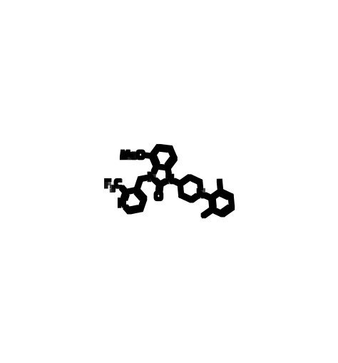 COc1cccc2c1n(Cc1cccnc1C(F)(F)F)c(=O)n2C1CCN(c2c(C)cccc2C)CC1